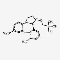 COc1ccc(N2CC[C@@H](OCC(C)(C)O)[C@H]2c2cccc(C)c2Cl)cc1